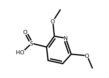 COc1ccc(S(=O)O)c(OC)n1